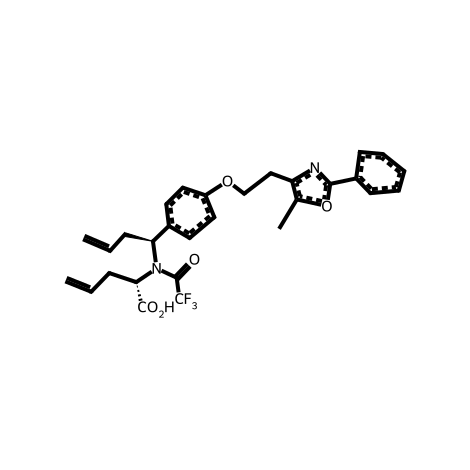 C=CC[C@@H](C(=O)O)N(C(=O)C(F)(F)F)[C@@H](CC=C)c1ccc(OCCc2nc(-c3ccccc3)oc2C)cc1